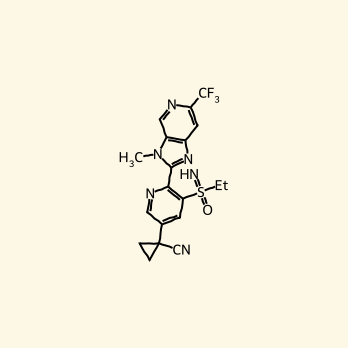 CCS(=N)(=O)c1cc(C2(C#N)CC2)cnc1-c1nc2cc(C(F)(F)F)ncc2n1C